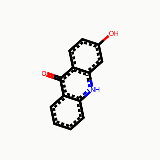 O=c1c2ccccc2[nH]c2cc(O)ccc12